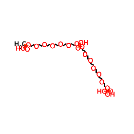 CP(=O)(O)OCCOCCOCCOCCOCCOCCOP(=O)(O)OCCOCCOCCOCCOCCOCCOP(=O)(O)O